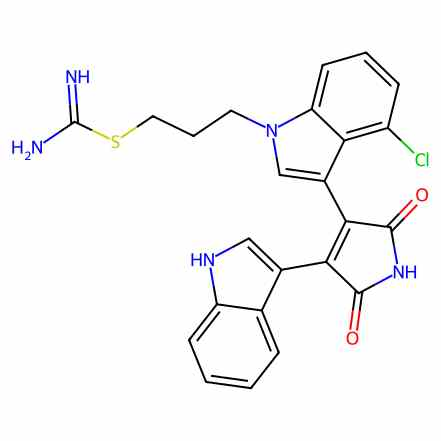 N=C(N)SCCCn1cc(C2=C(c3c[nH]c4ccccc34)C(=O)NC2=O)c2c(Cl)cccc21